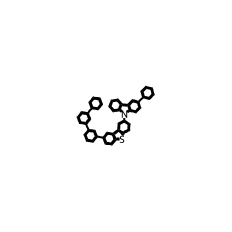 c1ccc(-c2cccc(-c3cccc(-c4ccc5sc6ccc(-n7c8ccccc8c8cc(-c9ccccc9)ccc87)cc6c5c4)c3)c2)cc1